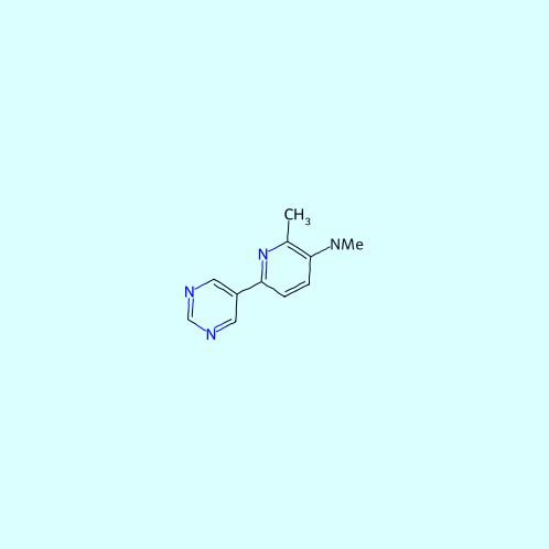 CNc1ccc(-c2cncnc2)nc1C